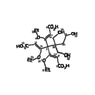 CCOC(=CC(=O)O)C(C(=CC(=O)O)OCC)(C(=CC(=O)O)OCC)C(CO)(CO)CCO